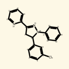 Clc1cccc(C2CC(c3ccccn3)=NN2c2ccccc2)c1